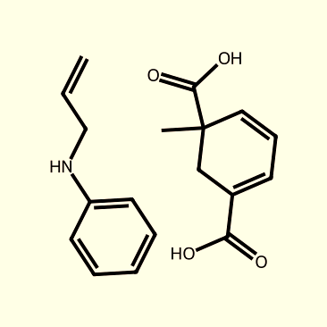 C=CCNc1ccccc1.CC1(C(=O)O)C=CC=C(C(=O)O)C1